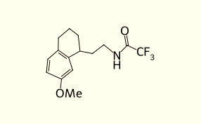 COc1ccc2c(c1)C(CCNC(=O)C(F)(F)F)CCC2